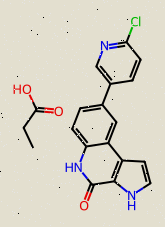 CCC(=O)O.O=c1[nH]c2ccc(-c3ccc(Cl)nc3)cc2c2cc[nH]c12